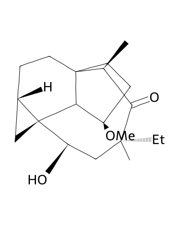 CC[C@]1(C)C[C@@H](O)[C@]23C[C@@H]2CCC2(CC[C@@H](OC)C23)[C@@H](C)C1=O